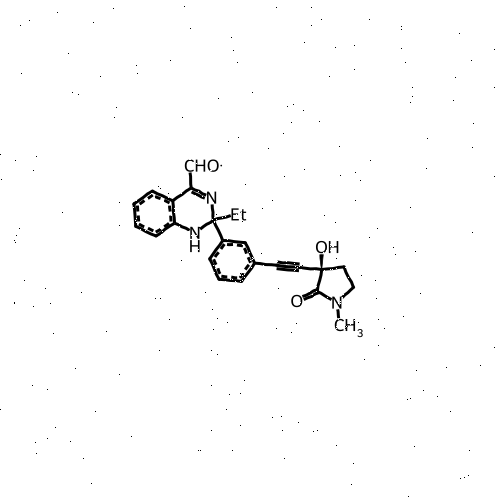 CCC1(c2cccc(C#C[C@]3(O)CCN(C)C3=O)c2)N=C([C]=O)c2ccccc2N1